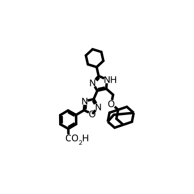 O=C(O)c1cccc(-c2nc(-c3nc(C4CCCCC4)[nH]c3COC34CC5CC(CC(C5)C3)C4)no2)c1